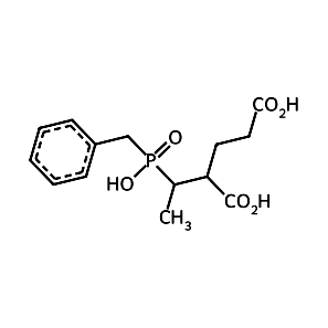 CC(C(CCC(=O)O)C(=O)O)P(=O)(O)Cc1ccccc1